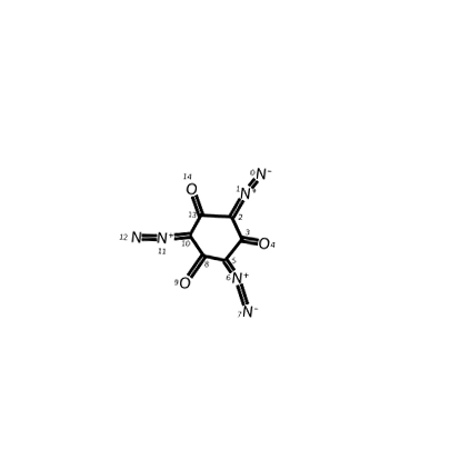 [N-]=[N+]=C1C(=O)C(=[N+]=[N-])C(=O)C(=[N+]=[N-])C1=O